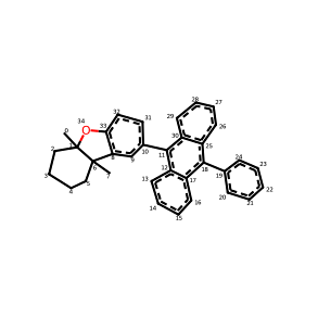 CC12CCCCC1(C)c1cc(-c3c4ccccc4c(-c4ccccc4)c4ccccc34)ccc1O2